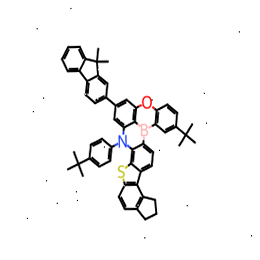 CC(C)(C)c1ccc(N2c3cc(-c4ccc5c(c4)C(C)(C)c4ccccc4-5)cc4c3B(c3cc(C(C)(C)C)ccc3O4)c3ccc4c(sc5ccc6c(c54)CCC6)c32)cc1